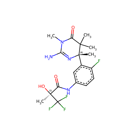 CN1C(=O)C(C)(C)[C@](C)(c2cc(NC(=O)[C@](C)(O)C(F)(F)F)ccc2F)N=C1N